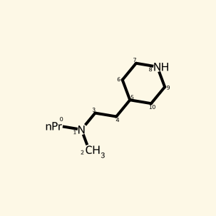 CCCN(C)CCC1CCNCC1